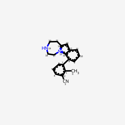 Cc1c(C#N)cccc1-c1cccc2cc3n(c12)CCNCC3